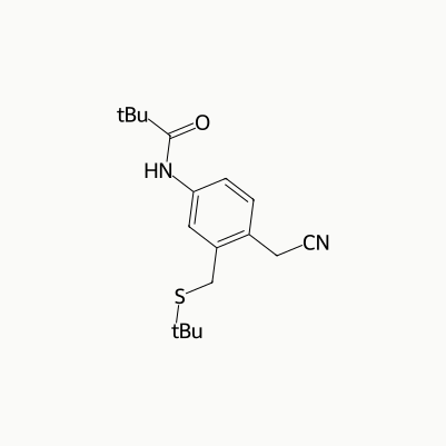 CC(C)(C)SCc1cc(NC(=O)C(C)(C)C)ccc1CC#N